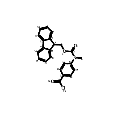 CN(C(=O)OCC1c2ccccc2-c2ccccc21)c1ccc(C(=O)Cl)cc1